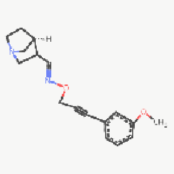 COc1cccc(C#CCO/N=C/C2CN3CC[C@@H]2C3)c1